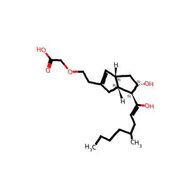 CCCCC(C)CC=C(O)[C@H]1[C@@H]2CC(CCOCC(=O)O)=C[C@@H]2C[C@@H]1O